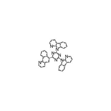 c1cnc2c(c1)cc(-c1nc(-n3c4ccccc4c4cccnc43)nc(-n3c4ccccc4c4cccnc43)n1)c1ccccc12